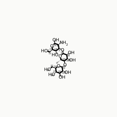 C[C@@H]1O[C@@H](O[C@@H]2[C@@H](N)[C@H](O)O[C@H](CO)[C@H]2O)[C@H](O)[C@H](O)[C@H]1O[C@H]1O[C@H](CO)[C@@H](O)[C@H](O)[C@H]1O